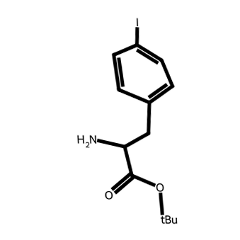 CC(C)(C)OC(=O)C(N)Cc1ccc(I)cc1